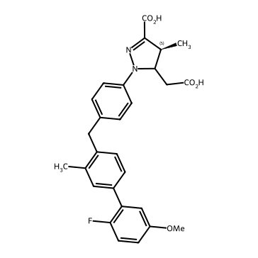 COc1ccc(F)c(-c2ccc(Cc3ccc(N4N=C(C(=O)O)[C@@H](C)C4CC(=O)O)cc3)c(C)c2)c1